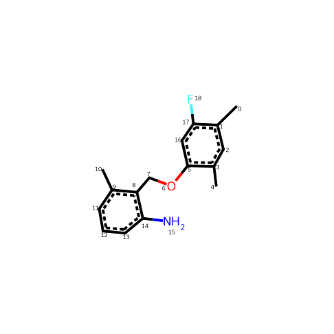 Cc1cc(C)c(OCc2c(C)cccc2N)cc1F